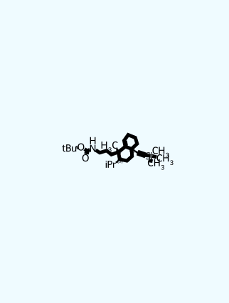 CC(C)[C@@H]1CC[C@@]2(C#C[Si](C)(C)C)CCCC=C2[C@@]1(C)CCCNC(=O)OC(C)(C)C